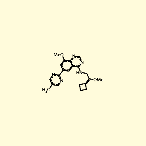 COC(CNc1ncnc2c(OC)cc(-c3ncc(C)cn3)cc12)=C1CCC1